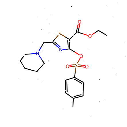 CCOC(=O)c1sc(CN2CCCCC2)nc1OS(=O)(=O)c1ccc(C)cc1